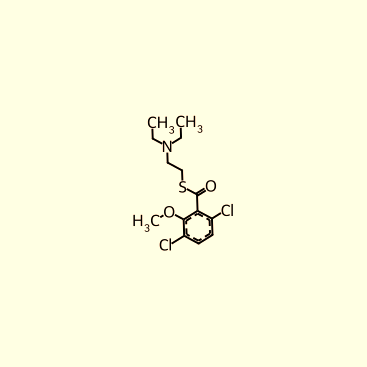 CCN(CC)CCSC(=O)c1c(Cl)ccc(Cl)c1OC